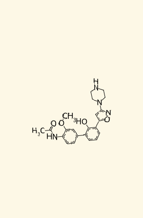 COc1cc(-c2cccc(-c3cc(N4CCNCC4)no3)c2O)ccc1NC(C)=O